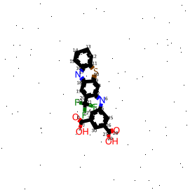 O=C(O)c1cc(/N=c2/cc3sc4ccccc4nc-3cc2C(F)(F)F)cc(C(=O)O)c1